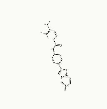 CNc1ccc(C(=O)Nc2ccc(-c3cn4cc(C)ccc4n3)cc2)cc1F